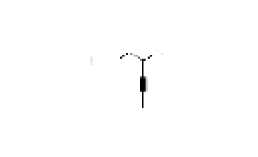 CC#CC(CS(=O)(=O)O)C(C)=O